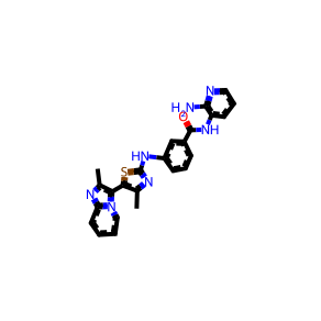 Cc1nc(Nc2cccc(C(=O)Nc3cccnc3N)c2)sc1-c1c(C)nc2ccccn12